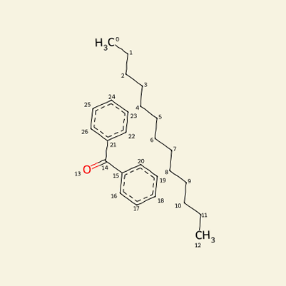 CCCCCCCCCCCCC.O=C(c1ccccc1)c1ccccc1